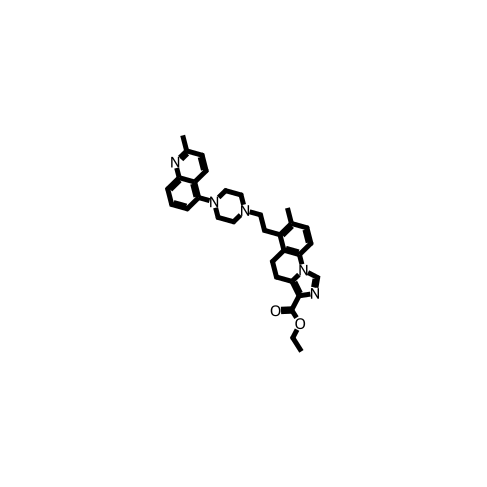 CCOC(=O)c1ncn2c1CCc1c-2ccc(C)c1CCN1CCN(c2cccc3nc(C)ccc23)CC1